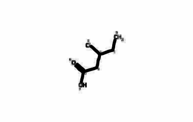 CCC(Cl)CC(=O)O